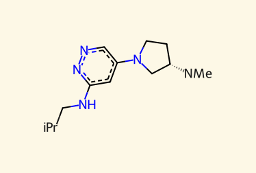 CN[C@H]1CCN(c2cnnc(NCC(C)C)c2)C1